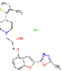 Cc1nnc(-c2cc3c(OC[C@@H](O)CN4CCC(c5sccc5C)CC4)cccc3o2)o1.Cl